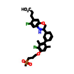 Cc1cc(OCCCS(C)(=O)=O)c(F)c(C)c1-c1cccc(C2COc3cc(CCC(=O)O)c(F)cc3N2)c1